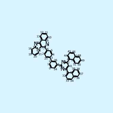 c1cc(-c2ccc(-c3nc4ccccc4c4nc5ccccn5c34)cc2)cc(-c2nc(-c3cccc4ccccc34)cc(-c3cccc4ccccc34)n2)c1